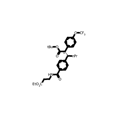 CCCC(c1ccc(C(=O)NCCC(=O)OCC)cc1)[C@H](C(=O)OC(C)(C)C)c1ccc(OC(F)(F)F)cc1